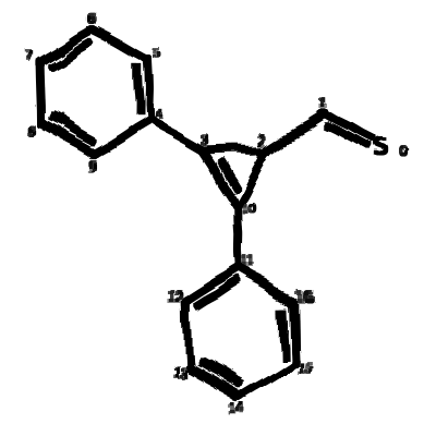 S=CC1C(c2ccccc2)=C1c1ccccc1